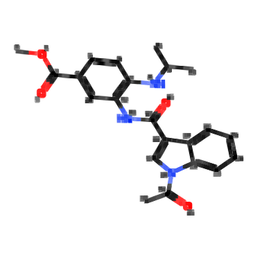 COC(=O)c1ccc(NC(C)C)c(NC(=O)c2cn(C(C)=O)c3ccccc23)c1